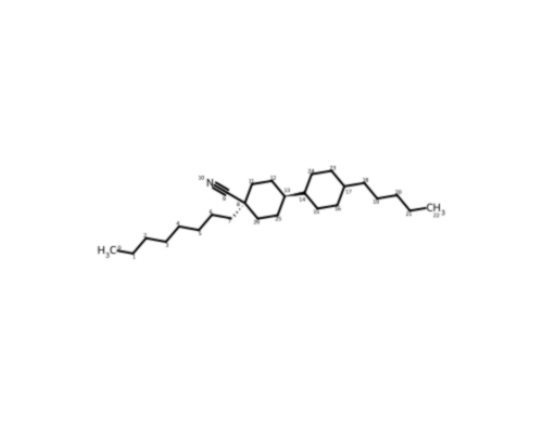 CCCCCCCC[C@]1(C#N)CC[C@@H](C2CCC(CCCCC)CC2)CC1